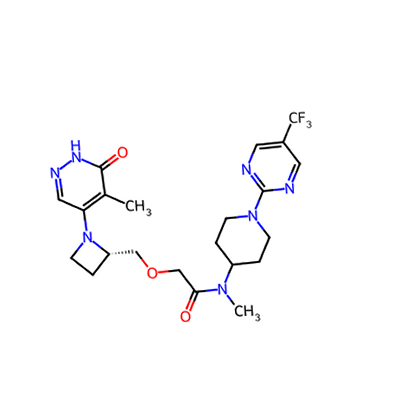 Cc1c(N2CC[C@H]2COCC(=O)N(C)C2CCN(c3ncc(C(F)(F)F)cn3)CC2)cn[nH]c1=O